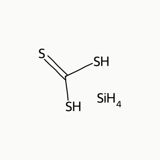 S=C(S)S.[SiH4]